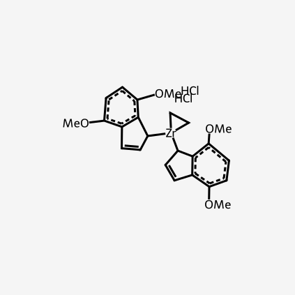 COc1ccc(OC)c2c1C=C[CH]2[Zr]1([CH]2C=Cc3c(OC)ccc(OC)c32)[CH2][CH2]1.Cl.Cl